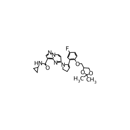 CC1(C)OCC(COc2ccc(F)cc2C2=CCCN2c2ccn3ncc(C(=O)NC4CC4)c3n2)O1